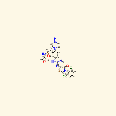 O=C1c2cnc(Nc3ccc(N4CCNCC4)c(CS(=O)(=O)NC4COC4)c3)nc2SCN1c1c(Cl)cccc1Cl